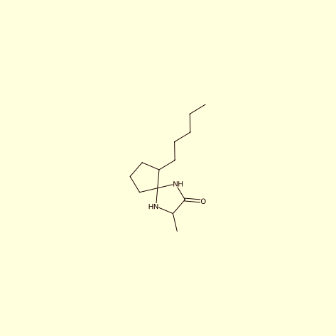 CCCCCC1CCCC12NC(=O)C(C)N2